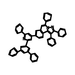 c1ccc(-c2cc(-c3ccccc3)cc(-c3cc(-c4ccc5c(c4)cc(-c4ccccc4)n4nc(-c6ccccc6)c(-c6ccccc6)c54)cc(-c4ccccc4)n3)c2)cc1